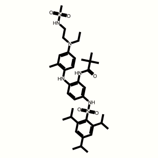 CCN(CCNS(C)(=O)=O)c1ccc(Nc2ccc(NS(=O)(=O)c3c(C(C)C)cc(C(C)C)cc3C(C)C)cc2NC(=O)C(C)(C)C)c(C)c1